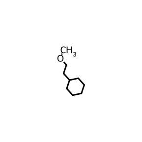 COCCC1CCCCC1